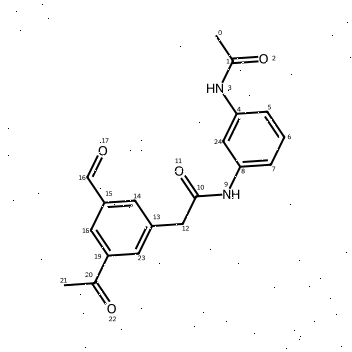 CC(=O)Nc1cccc(NC(=O)Cc2cc(C=O)cc(C(C)=O)c2)c1